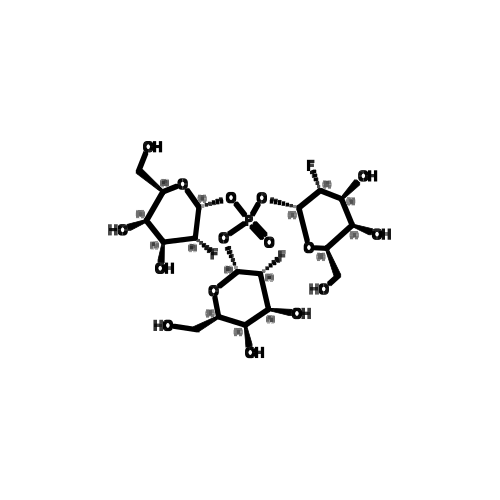 O=P(O[C@H]1O[C@H](CO)[C@H](O)[C@H](O)[C@H]1F)(O[C@H]1O[C@H](CO)[C@H](O)[C@H](O)[C@H]1F)O[C@H]1O[C@H](CO)[C@H](O)[C@H](O)[C@H]1F